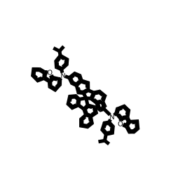 CC(C)c1ccc(N(c2ccc3cc4c(cc3c2)C2(c3ccccc3-c3c2ccc2ccccc32)c2c-4ccc3cc(N(c4ccc(C(C)C)cc4)c4cccc5c4oc4ccccc45)ccc23)c2cccc3c2oc2ccccc23)cc1